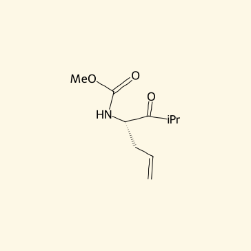 C=CC[C@H](NC(=O)OC)C(=O)C(C)C